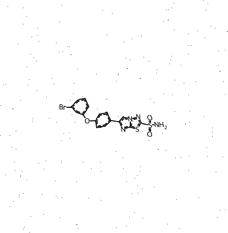 NS(=O)(=O)c1nn2cc(-c3ccc(Oc4cccc(Br)c4)cc3)nc2s1